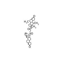 CC[C@]1(COC(=O)CCC(=O)O[C@H]2CCC3C4C(C5CCC(=O)C=C5C[C@H]4C)[C@@H](C)C[C@@]32C)CCC2C3CCC(=O)C=C3CCC2C1CCCC(C)C